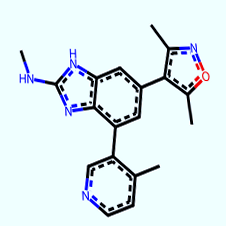 CNc1nc2c(-c3cnccc3C)cc(-c3c(C)noc3C)cc2[nH]1